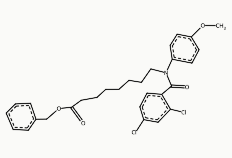 COc1ccc(N(CCCCCCCC(=O)OCc2ccccc2)C(=O)c2ccc(Cl)cc2Cl)cc1